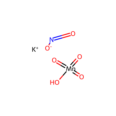 O=N[O-].[K+].[O]=[Mn](=[O])(=[O])[OH]